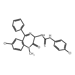 CN1C(=O)C(NC(=S)Nc2ccc(Cl)cc2)N=C(c2ccccc2)c2cc(Cl)ccc21